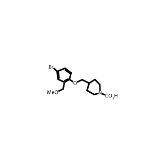 COCc1cc(Br)ccc1OCC1CCN(C(=O)O)CC1